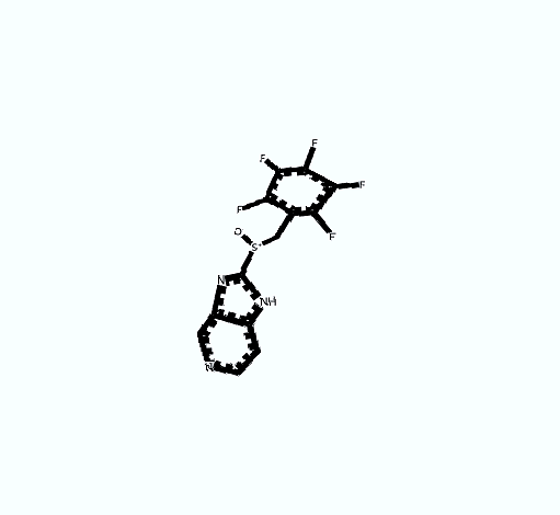 [O-][S+](Cc1c(F)c(F)c(F)c(F)c1F)c1nc2cnccc2[nH]1